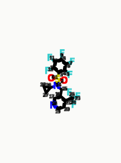 O=S(=O)(c1c(F)c(F)c(F)c(F)c1F)N(Cc1cnccc1C(F)(F)F)C1CC1